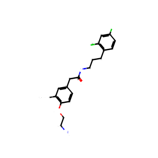 COc1cc(CC(=O)NCCCc2ccc(Cl)cc2Cl)ccc1OCCN